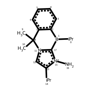 CC(C)B1c2ccccc2C(C)(C)n2cc(C(C)C)[n+](N)c21